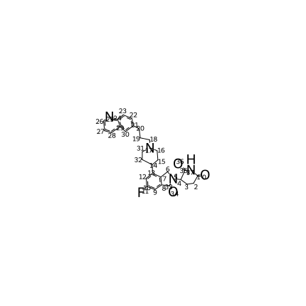 O=C1CCC(N2Cc3c(cc(F)cc3C3CCN(CCCc4ccc5ncccc5c4)CC3)C2=O)C(=O)N1